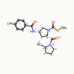 CC(C)(C)OC(=O)N1C[C@@H](NC(=O)c2ccc(Cl)cc2)C[C@H]1C(=O)N1CCC[C@H]1C#N